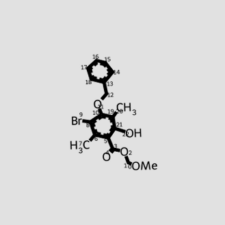 COCOC(=O)c1c(C)c(Br)c(OCc2ccccc2)c(C)c1O